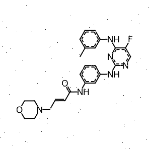 Cc1cccc(Nc2nc(Nc3cccc(NC(=O)C=CCN4CCOCC4)c3)ncc2F)c1